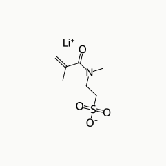 C=C(C)C(=O)N(C)CCS(=O)(=O)[O-].[Li+]